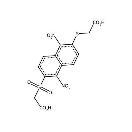 O=C(O)CSc1ccc2c([N+](=O)[O-])c(S(=O)(=O)CC(=O)O)ccc2c1[N+](=O)[O-]